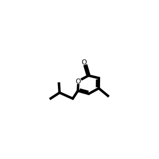 Cc1cc(CC(C)C)oc(=O)c1